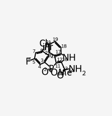 COP(=O)(c1cc(F)cc(C(C)C)c1)c1c(C(N)=O)[nH]c2ccc(Cl)cc12